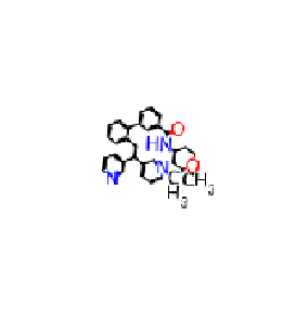 CC1(C)CC(NC(=O)c2cccc(-c3ccccc3CC(c3cccnc3)c3cccnc3)c2)CCO1